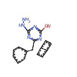 NNc1nc(O)nc(Cc2ccccc2)n1.c1cc2ccc1-2